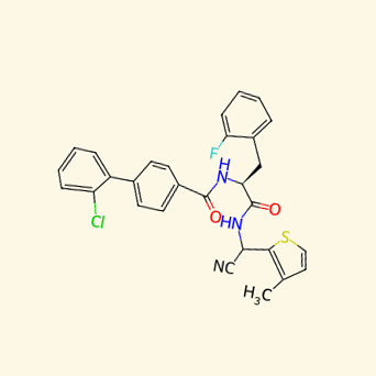 Cc1ccsc1C(C#N)NC(=O)[C@H](Cc1ccccc1F)NC(=O)c1ccc(-c2ccccc2Cl)cc1